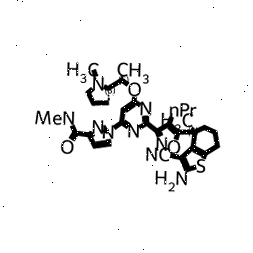 CCCc1c(-c2nc(O[C@@H](C)[C@@H]3CCCN3C)cc(-n3ccc(C(=O)NC)n3)n2)noc1[C@@]1(C)CCCc2sc(N)c(C#N)c21